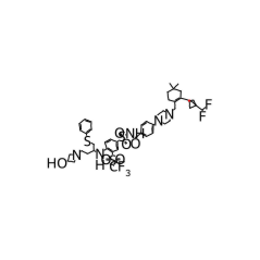 CC1(C)CCC(CN2CCN(c3ccc(C(=O)NS(=O)(=O)c4ccc(NC(CCN5CC(O)C5)CSc5ccccc5)c(S(=O)(=O)C(F)(F)F)c4)cc3)CC2)=C(C23CC(C(F)F)(C2)C3)C1